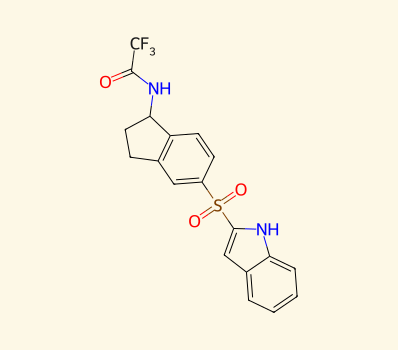 O=C(NC1CCc2cc(S(=O)(=O)c3cc4ccccc4[nH]3)ccc21)C(F)(F)F